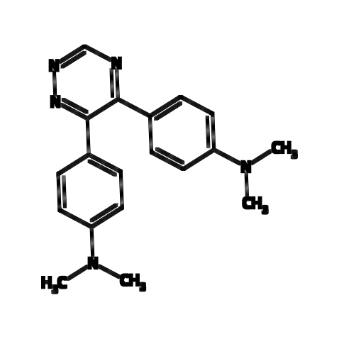 CN(C)c1ccc(-c2ncnnc2-c2ccc(N(C)C)cc2)cc1